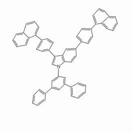 c1ccc(-c2cc(-c3ccccc3)cc(-n3cc(-c4ccc(-c5cccc6ccccc56)cc4)c4cc(-c5ccc(-c6cccc7ccccc67)cc5)ccc43)c2)cc1